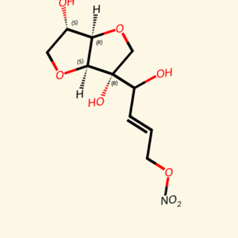 O=[N+]([O-])OCC=CC(O)[C@]1(O)CO[C@@H]2[C@@H](O)CO[C@@H]21